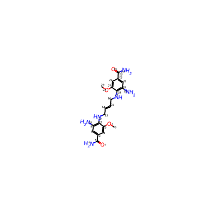 COc1cc(C(N)=O)cc(N)c1NC/C=C/CNc1c(N)cc(C(N)=O)cc1OC